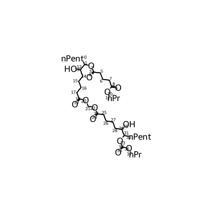 CCCCCC(OC(=O)CCCC(=O)OCCC)C(O)CCCCC(=O)OCOC(=O)CCCCC(O)C(CCCCC)OC(=O)OCCC